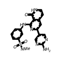 CNS(=O)(=O)c1cccc(Nc2nc(-c3cnc(N)nc3)cc3cc[nH]c(=O)c23)c1